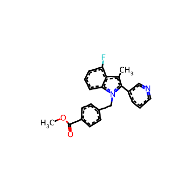 COC(=O)c1ccc(Cn2c(-c3cccnc3)c(C)c3c(F)cccc32)cc1